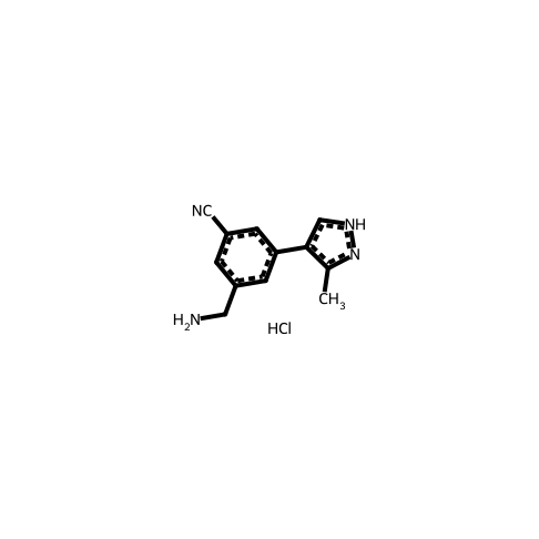 Cc1n[nH]cc1-c1cc(C#N)cc(CN)c1.Cl